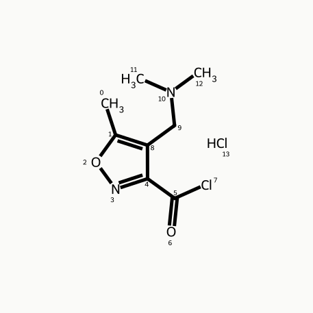 Cc1onc(C(=O)Cl)c1CN(C)C.Cl